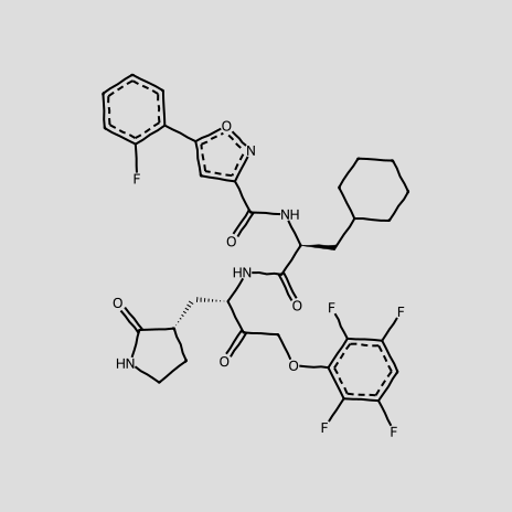 O=C(N[C@@H](CC1CCCCC1)C(=O)N[C@@H](C[C@@H]1CCNC1=O)C(=O)COc1c(F)c(F)cc(F)c1F)c1cc(-c2ccccc2F)on1